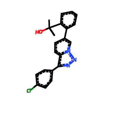 CC(C)(O)c1ccccc1-c1ccc2c(-c3ccc(Cl)cc3)nnn2c1